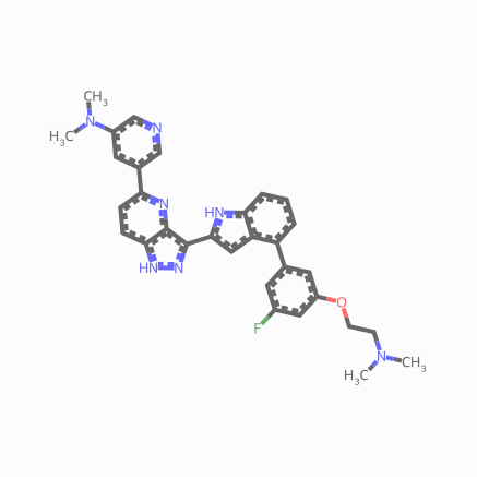 CN(C)CCOc1cc(F)cc(-c2cccc3[nH]c(-c4n[nH]c5ccc(-c6cncc(N(C)C)c6)nc45)cc23)c1